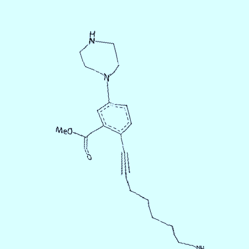 COC(=O)c1cc(N2CCNCC2)ccc1C#CCCCCCN